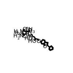 CC(C)(N)CC(C)(C(=O)OCC(O)CC(O)COc1ccc2cc(-c3ccccc3)oc2c1)C(C)(C)N